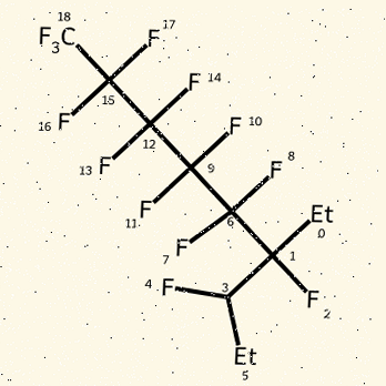 [CH2]CC(F)(C(F)CC)C(F)(F)C(F)(F)C(F)(F)C(F)(F)C(F)(F)F